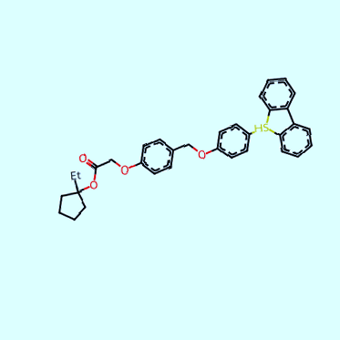 CCC1(OC(=O)COc2ccc(COc3ccc([SH]4c5ccccc5-c5ccccc54)cc3)cc2)CCCC1